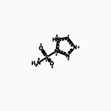 NS(=O)(=O)[n+]1nnc[nH]1